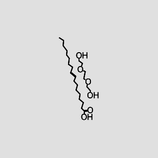 CCCCCCCCC=CCCCCCCCC(=O)O.OCCOCCOCCO